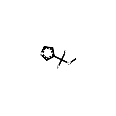 COC(F)(F)c1ccsc1